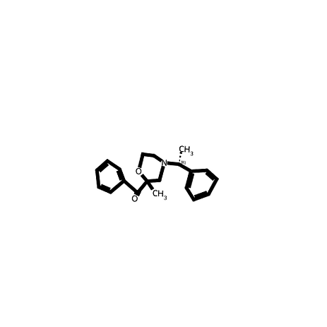 C[C@H](c1ccccc1)N1CCOC(C)(C(=O)c2ccccc2)C1